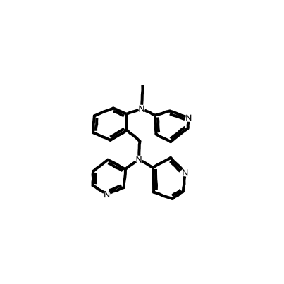 CN(c1cccnc1)c1ccccc1CN(c1cccnc1)c1cccnc1